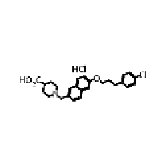 Cl.O=C(O)C1CCN(Cc2ccc3cc(OCCCc4ccc(Cl)cc4)ccc3c2)CC1